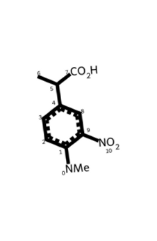 CNc1ccc(C(C)C(=O)O)cc1[N+](=O)[O-]